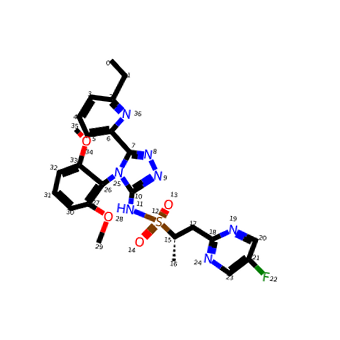 CCc1cccc(-c2nnc(NS(=O)(=O)[C@@H](C)Cc3ncc(F)cn3)n2-c2c(OC)cccc2OC)n1